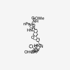 CCCN(Cc1nc2ccc3cc4c(cc3c2[nH]1)OCc1cc(-c2cnc(CN(CCC)C(=O)[C@H](NC=O)c3ccccc3)[nH]2)ccc1-4)C(=O)CNC(=O)OC